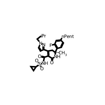 CCCCCc1ccc([C@]2(C)CC(c3ccn(CC(C)C)n3)=C(C(=O)NS(=O)(=O)C3CC3)C(=O)N2)c(F)c1